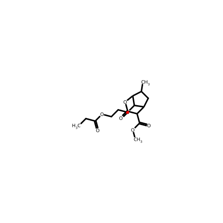 CCC(=O)OCCOC1C2CC(C)C1OC(=O)C2C(=O)OC